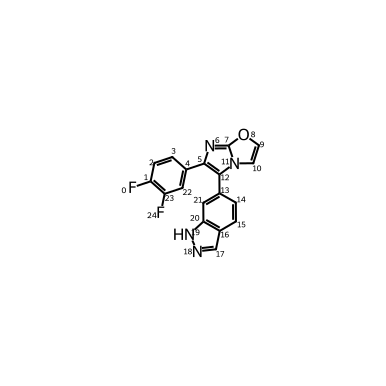 Fc1ccc(-c2nc3occn3c2-c2ccc3cn[nH]c3c2)cc1F